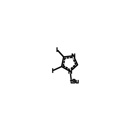 CC(C)(C)n1cnc(I)c1I